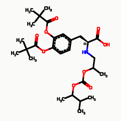 CC(CN[C@@H](Cc1ccc(OC(=O)C(C)(C)C)c(OC(=O)C(C)(C)C)c1)C(=O)O)OC(=O)OC(C)C(C)C